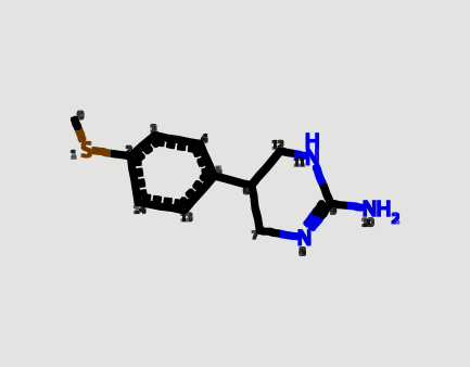 CSc1ccc(C2CN=C(N)NC2)cc1